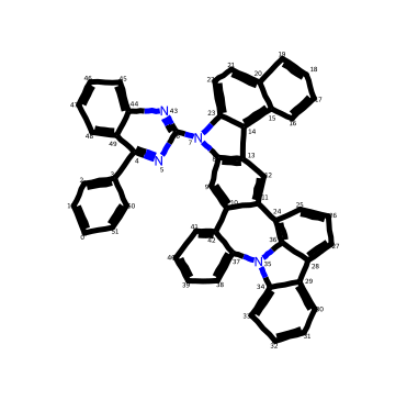 c1ccc(-c2nc(-n3c4cc5c(cc4c4c6ccccc6ccc43)-c3cccc4c6ccccc6n(c34)-c3ccccc3-5)nc3ccccc23)cc1